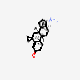 C[C@]12CC[C@H]3[C@@H](CC4(CC4)C4=CC(=O)CC[C@@H]43)[C@@H]1CC[C@@H]2N